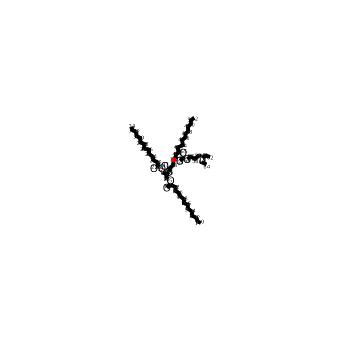 CCCCCCCCCCCCCC(=O)OCC(COC(=O)CCCCCCCCCCCCC)OC(=O)CCC(CCCCCCCCCCCC)OC(=O)OCCCN(CC)CC